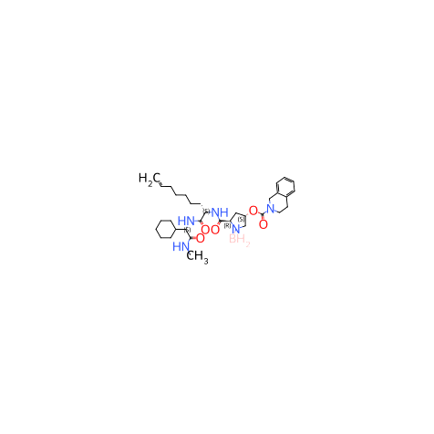 BN1C[C@@H](OC(=O)N2CCc3ccccc3C2)C[C@@H]1C(=O)N[C@@H](CCCCCC=C)C(=O)N[C@H](C(=O)NC)C1CCCCC1